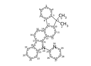 CC1(C)c2ccccc2-c2c1ccc1c2ccc2c3ccccc3n(-c3ccccn3)c12